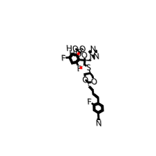 C[C@@H](S[C@H]1CO[C@H](C=CC=Cc2ccc(C#N)cc2F)OC1)[C@@](Cn1cncn1)(OP(=O)(O)O)c1ccc(F)cc1F